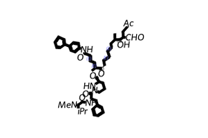 CNC(C(=O)NC(Cc1ccccc1)C(=O)N1CCCC(C(=O)O[C@@H](C/C=C/C=C/CC(C)[C@@H](O)C(C=O)CCC(C)=O)/C(C)=C/C=C/C(=O)Nc2ccc(-c3ccccc3)cc2)N1)C(C)C